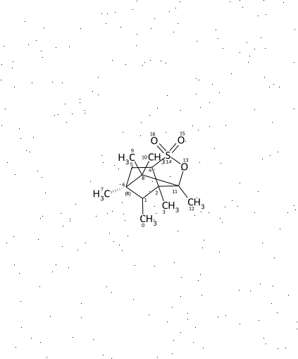 CC1C2(C)C3C[C@@]1(C)C(C)(C)C2(C)OS3(=O)=O